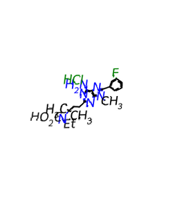 CCN(C(=O)O)C(C)(C)CCc1nc(N)c2nc(-c3cccc(F)c3)n(C)c2n1.Cl